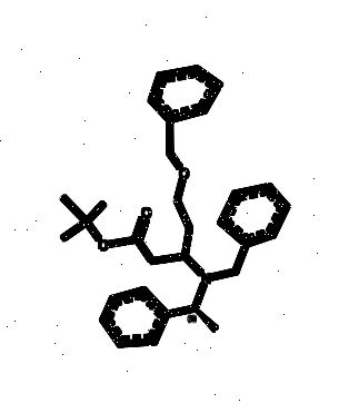 C[C@@H](c1ccccc1)N(Cc1ccccc1)C(CCOCc1ccccc1)CC(=O)OC(C)(C)C